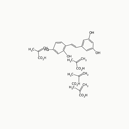 C=C(C)C(=O)O.C=C(C)C(=O)O.C=C(C)C(=O)O.C=C(C)C(=O)O.Oc1cc(O)cc(C=Cc2ccc(O)cc2O)c1